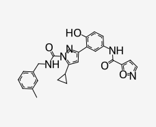 Cc1cccc(CNC(=O)n2nc(-c3cc(NC(=O)c4ccno4)ccc3O)cc2C2CC2)c1